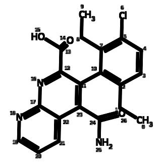 CCc1ccc(Cl)c(CC)c1-c1c(C(=O)O)nc2ncccc2c1C(N)=O